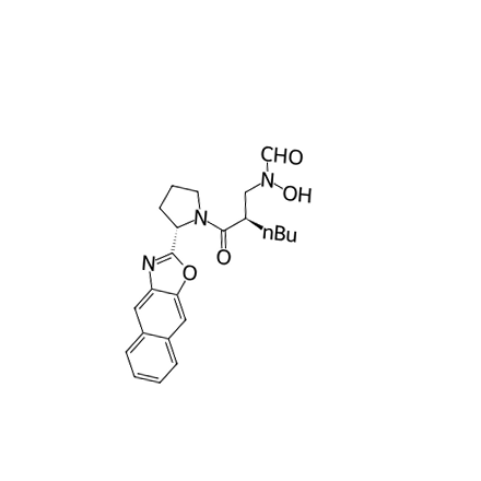 CCCC[C@H](CN(O)C=O)C(=O)N1CCC[C@H]1c1nc2cc3ccccc3cc2o1